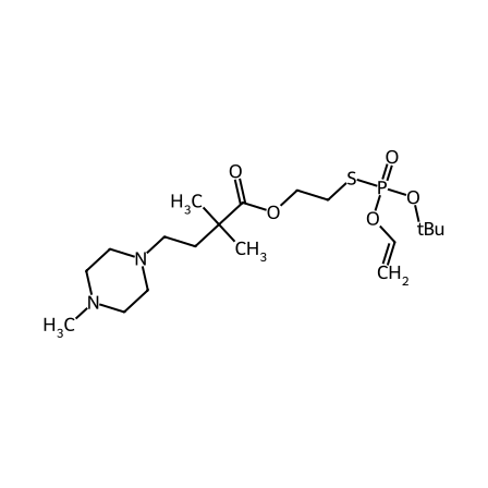 C=COP(=O)(OC(C)(C)C)SCCOC(=O)C(C)(C)CCN1CCN(C)CC1